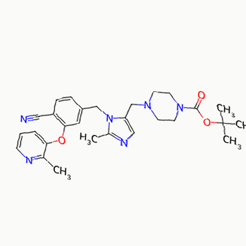 Cc1ncccc1Oc1cc(Cn2c(CN3CCN(C(=O)OC(C)(C)C)CC3)cnc2C)ccc1C#N